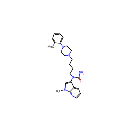 COc1ccccc1N1CCN(CCCCN(C(N)=O)c2cn(C)c3ncccc23)CC1